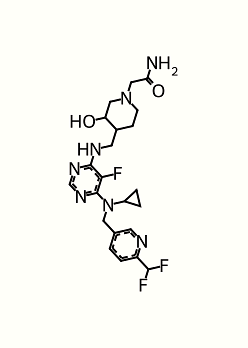 NC(=O)CN1CCC(CNc2ncnc(N(Cc3ccc(C(F)F)nc3)C3CC3)c2F)C(O)C1